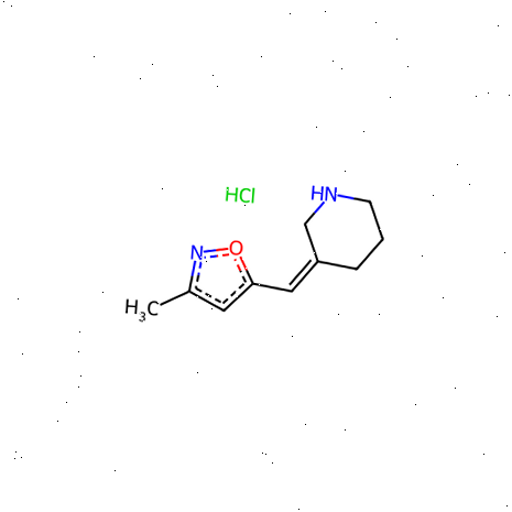 Cc1cc(/C=C2/CCCNC2)on1.Cl